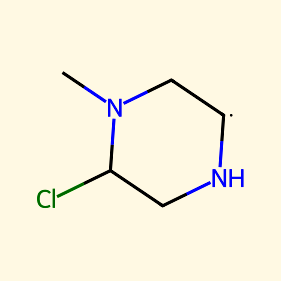 CN1C[CH]NCC1Cl